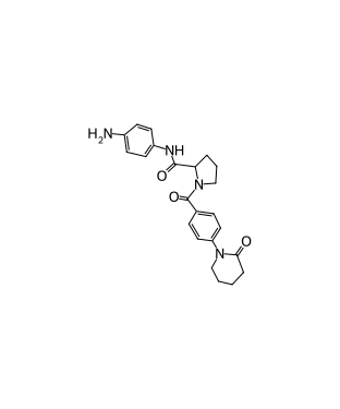 Nc1ccc(NC(=O)C2CCCN2C(=O)c2ccc(N3CCCCC3=O)cc2)cc1